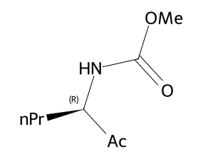 CCC[C@@H](NC(=O)OC)C(C)=O